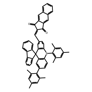 Cc1cc(C)c(-c2ccc3c(c2)C2(c4ccccc4-c4ccccc42)c2cc(C=C4C(=O)c5cc6ccccc6cc5C4=O)ccc2N3c2c(C)cc(C)cc2C)c(C)c1